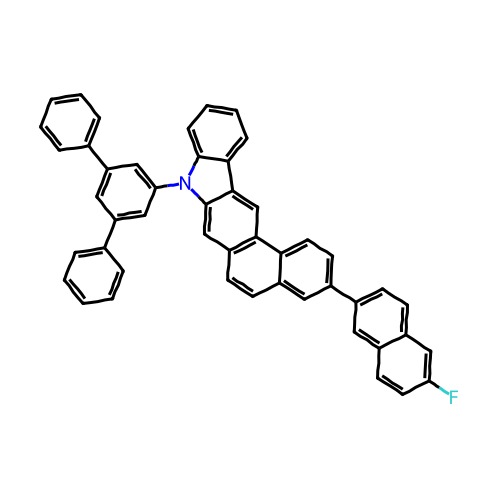 Fc1ccc2cc(-c3ccc4c(ccc5cc6c(cc54)c4ccccc4n6-c4cc(-c5ccccc5)cc(-c5ccccc5)c4)c3)ccc2c1